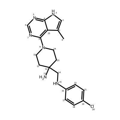 Cc1c[nH]c2ncnc(N3CCC(N)(CNc4ccc(Cl)cc4)CC3)c12